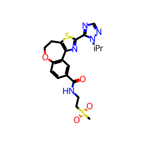 CC(C)n1ncnc1-c1nc2c(s1)CCOc1ccc(C(=O)NCCS(C)(=O)=O)cc1-2